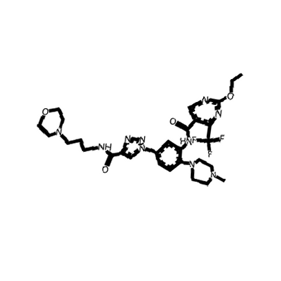 CCOc1ncc(C(=O)Nc2cc(-n3cc(C(=O)NCCCN4CCOCC4)nn3)ccc2N2CCN(C)CC2)c(C(F)(F)F)n1